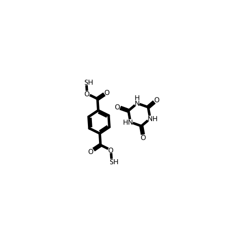 O=C(OS)c1ccc(C(=O)OS)cc1.O=c1[nH]c(=O)[nH]c(=O)[nH]1